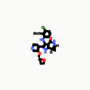 COc1c(Cl)cccc1Nc1c(-c2ccncc2OC[C@H]2CCO2)[nH]c2c1C(=O)N[C@H]1C[C@@H]21